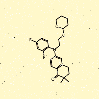 CC1(C)CCc2cc(N(CCOC3CCCCO3)c3ccc(F)cc3F)ccc2C1=O